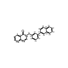 O=c1c2cccnc2ncn1Cc1cccc(-c2ccc3ccccc3c2)c1